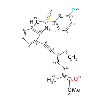 C=C/C(C#Cc1ccccc1N=S(C)(=O)c1cccc(F)c1)=C\C=C(/C)C(=O)OC